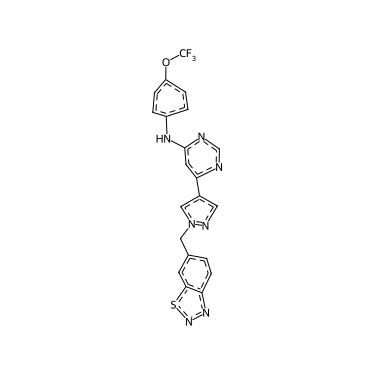 FC(F)(F)Oc1ccc(Nc2cc(-c3cnn(Cc4ccc5nnsc5c4)c3)ncn2)cc1